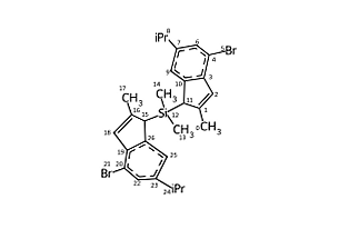 CC1=Cc2c(Br)cc(C(C)C)cc2C1[Si](C)(C)C1C(C)=Cc2c(Br)cc(C(C)C)cc21